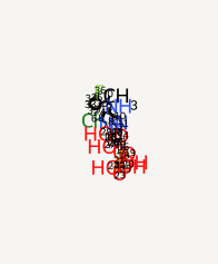 CC(Nc1cc(Cl)nc2c1cnn2[C@@H]1O[C@H](COP(=O)(O)CP(=O)(O)O)[C@@H](O)[C@H]1O)c1ccccc1F